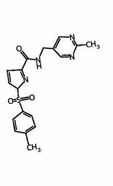 Cc1ccc(S(=O)(=O)C2C=CC(C(=O)NCc3cnc(C)nc3)=N2)cc1